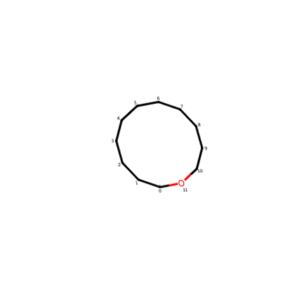 [CH]1CCCCCCCCCCO1